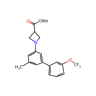 COC(=O)C1CN(c2cc(C)cc(-c3cccc(OC(F)(F)F)c3)c2)C1